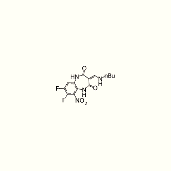 CCCCNC=C1C(=O)Nc2cc(F)c(F)c([N+](=O)[O-])c2NC1=O